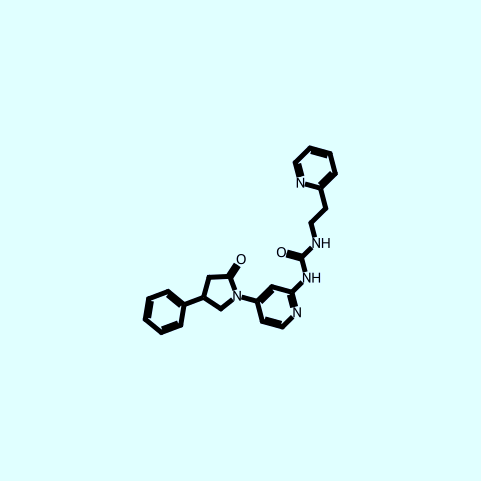 O=C(NCCc1ccccn1)Nc1cc(N2CC(c3ccccc3)CC2=O)ccn1